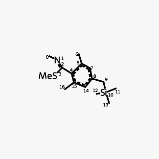 C/N=C(\SC)c1c(C)cc(C[Si](C)(C)C)cc1C